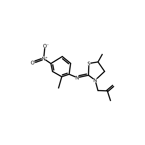 C=C(C)CN1CC(C)SC1=Nc1ccc([N+](=O)[O-])cc1C